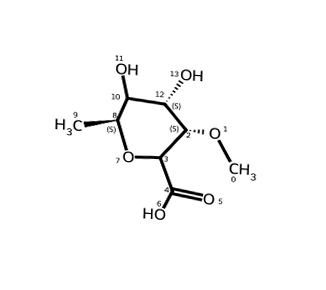 CO[C@@H]1C(C(=O)O)O[C@@H](C)C(O)[C@@H]1O